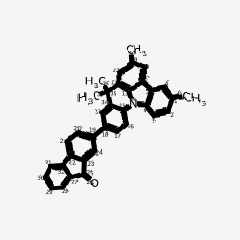 Cc1ccc2c(c1)c1cc(C)cc3c1n2-c1ccc(-c2ccc4c(c2)C(=O)c2ccccc2-4)cc1C3(C)C